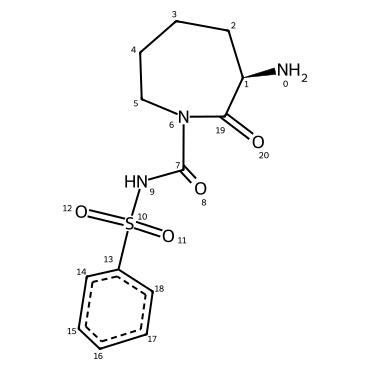 N[C@@H]1CCCCN(C(=O)NS(=O)(=O)c2ccccc2)C1=O